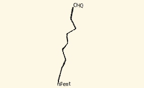 [CH2]CCCCCCCCCCCC=O